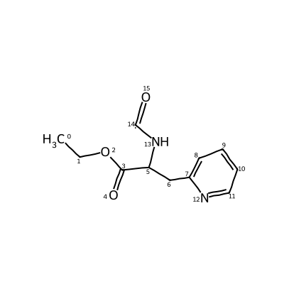 CCOC(=O)C(Cc1ccccn1)N[C]=O